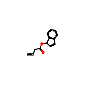 CCCCCCCCCC(=O)OC1C=Cc2ccccc21